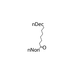 CCCCCCCCCCCCCCCCC(=O)CCCCCCCCC